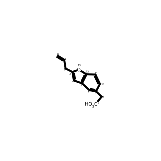 C=CCc1cc2cc(CC(=O)O)ccc2o1